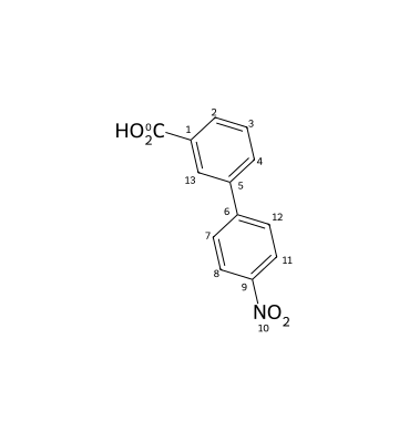 O=C(O)c1cccc(-c2ccc([N+](=O)[O-])cc2)c1